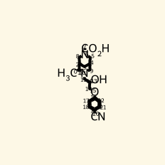 CC1C2CC(CN(C(=O)O)C2)CN1CC(O)COc1ccc(C#N)cc1